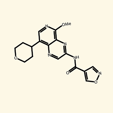 COc1ncc(C2CCOCC2)c2ncc(NC(=O)c3cnoc3)nc12